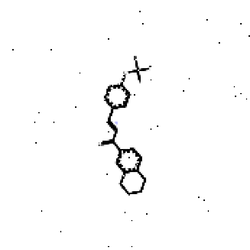 O=C(/C=C/c1ccc(OC(F)(F)F)cc1)c1ccc2c(c1)CCCC2